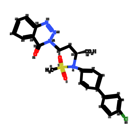 CS(=O)(=O)N(c1ccc(-c2ccc(Cl)cc2)cc1)[C@H](CCn1nnc2ccccc2c1=O)C(=O)O